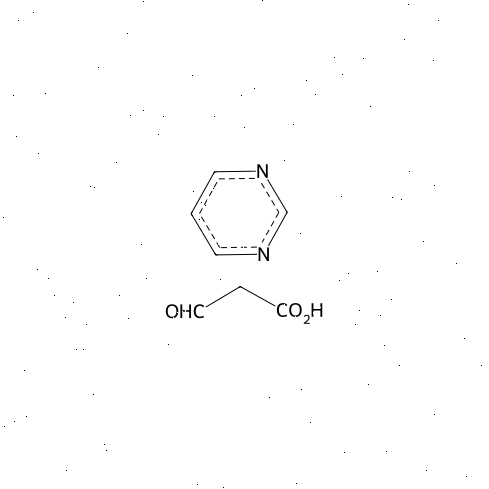 O=CCC(=O)O.c1cncnc1